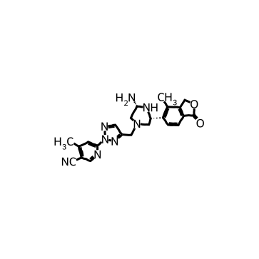 Cc1cc(-n2ncc(CN3C[C@@H](c4ccc5c(c4C)COC5=O)N[C@@H](N)C3)n2)ncc1C#N